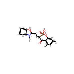 CCN1C(=CC=C2C(=O)c3c(C)cc(C)cc3OS2(=O)=O)Oc2ccccc21